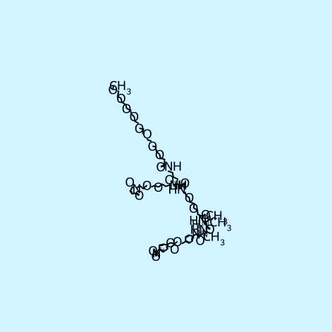 COCCOCCOCCOCCOCCOCCOCCOCCC(=O)NCCCC[C@H](NC(=O)CCOCCOCCN1C(=O)C=CC1=O)C(=O)NCCOCCOCCC(=O)N[C@H](C(=O)N[C@@H](C)C(=O)Nc1ccc(COC(=O)Oc2ccc([N+](=O)[O-])cc2)cc1)C(C)C